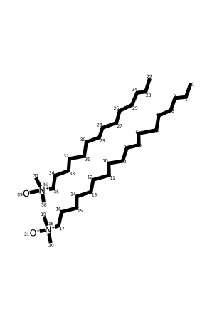 CCCCCCCCCCCCCCCCCC[N+](C)(C)[O-].CCCCCCCCCCCCCC[N+](C)(C)[O-]